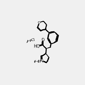 Cl.O=C(O)[C@@H](Cc1cccc(C2CCOCC2)c1)[C@H]1CCNC1